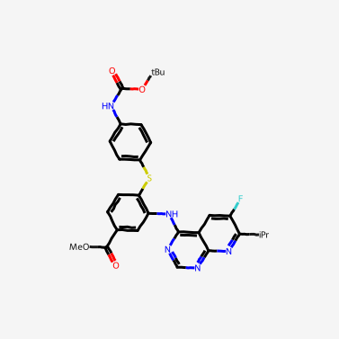 COC(=O)c1ccc(Sc2ccc(NC(=O)OC(C)(C)C)cc2)c(Nc2ncnc3nc(C(C)C)c(F)cc23)c1